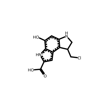 O=C(O)c1cc2c3c(cc(O)c2[nH]1)NCC3CCl